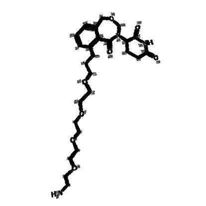 NCCOCCOCCOCCOCCCc1cccc2c1C(=O)N(C1CCC(=O)NC1=O)COC2